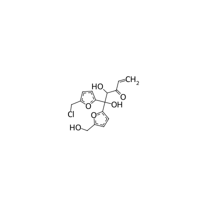 C=CC(=O)C(O)C(O)(c1ccc(CO)o1)c1ccc(CCl)o1